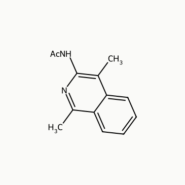 CC(=O)Nc1nc(C)c2ccccc2c1C